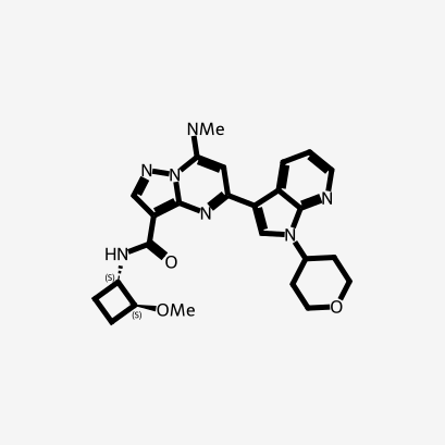 CNc1cc(-c2cn(C3CCOCC3)c3ncccc23)nc2c(C(=O)N[C@H]3CC[C@@H]3OC)cnn12